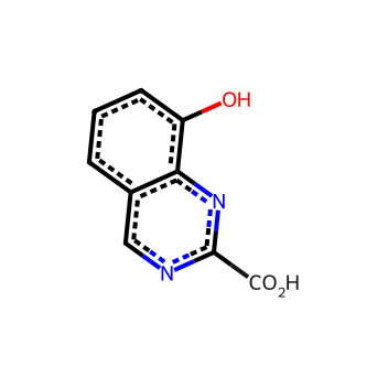 O=C(O)c1ncc2cccc(O)c2n1